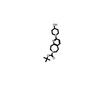 CC(C)(C)OC(=O)N1CCc2ccc(N3CCC(O)CC3)nc2CC1